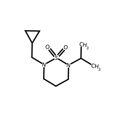 CC(C)N1CCCN(CC2CC2)S1(=O)=O